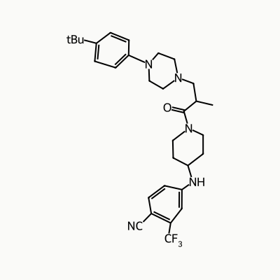 CC(CN1CCN(c2ccc(C(C)(C)C)cc2)CC1)C(=O)N1CCC(Nc2ccc(C#N)c(C(F)(F)F)c2)CC1